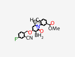 Bc1c(OCc2ccc(F)cc2C#N)cc(C)n(-c2cc(C(=O)OC)ccc2C)c1=O